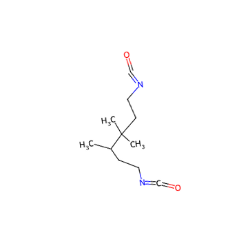 CC(CCN=C=O)C(C)(C)CCN=C=O